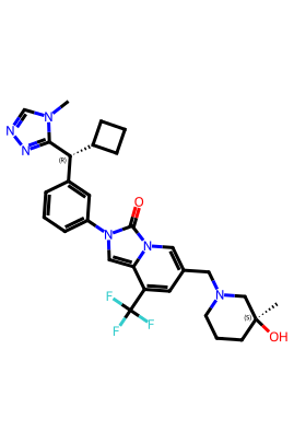 Cn1cnnc1[C@@H](c1cccc(-n2cc3c(C(F)(F)F)cc(CN4CCC[C@](C)(O)C4)cn3c2=O)c1)C1CCC1